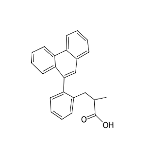 CC(Cc1ccccc1-c1cc2ccccc2c2ccccc12)C(=O)O